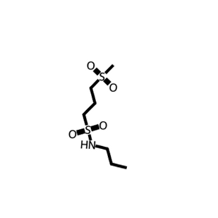 CCCNS(=O)(=O)CCCS(C)(=O)=O